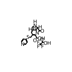 O=C(O)C(F)(F)F.O=C(O)C1=C(CSc2ccncc2)C[C@@H]2CN[C@@H]3C(=O)N1[C@H]23